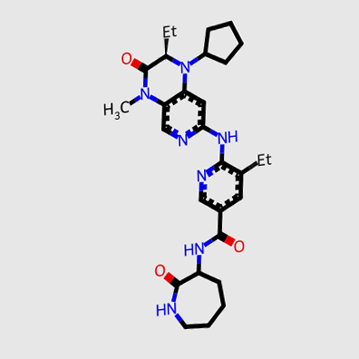 CCc1cc(C(=O)NC2CCCCNC2=O)cnc1Nc1cc2c(cn1)N(C)C(=O)[C@@H](CC)N2C1CCCC1